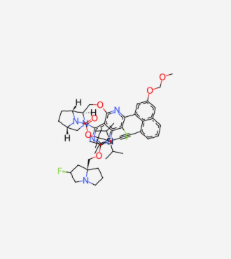 COCOc1cc(-c2nc3c4c(nc(OC[C@@]56CCCN5C[C@@H](F)C6)nc4c2F)N2C[C@@H]4CC[C@H]([C@H]2CO3)N4C(=O)OC(C)(C)C)c2c(C#C[Si](C(C)C)(C(C)C)C(C)C)cccc2c1